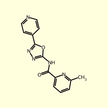 Cc1cccc(C(=O)Nc2nnc(-c3ccncc3)o2)n1